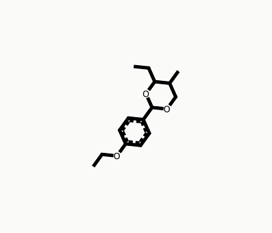 CCOc1ccc(C2OCC(C)C(CC)O2)cc1